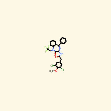 COc1c(Cl)cc(CC(=O)N[C@@H]2N=C(c3ccccc3)c3ccccc3N(CC(F)(F)F)C2=O)cc1Cl